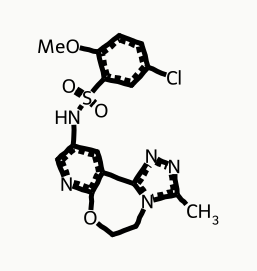 COc1ccc(Cl)cc1S(=O)(=O)Nc1cnc2c(c1)-c1nnc(C)n1CCO2